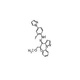 COCC(=O)/C(=N/Nc1ccc(-n2cccn2)cc1F)c1ccnn1-c1ccccc1